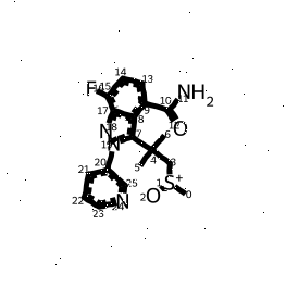 C[S+]([O-])CC(C)(C)c1c2c(C(N)=O)ccc(F)c2nn1-c1cccnc1